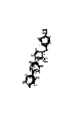 O=C1C(Cc2ccc(Cl)cc2)CCN1c1cnc(-c2ccncc2)nc1